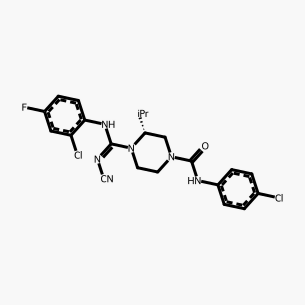 CC(C)[C@@H]1CN(C(=O)Nc2ccc(Cl)cc2)CCN1/C(=N\C#N)Nc1ccc(F)cc1Cl